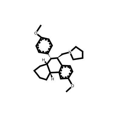 COc1ccc([C@H]2[C@H]3CCCC[C@H]3c3cc(OC)ccc3[C@@H]2CN2CCCC2)cc1